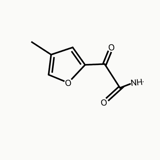 Cc1coc(C(=O)C([NH])=O)c1